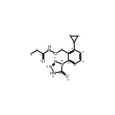 CCC(=O)NOCc1c(C2CC2)cccc1-n1nn[nH]c1=O